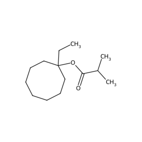 CCC1(OC(=O)C(C)C)CCCCCCC1